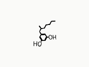 CCCCCC(C)Cc1cc(O)cc(O)c1